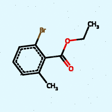 CCOC(=O)c1c(C)[c]ccc1Br